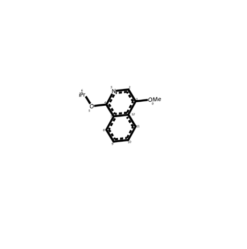 COc1cnc(OC(C)C)c2ccccc12